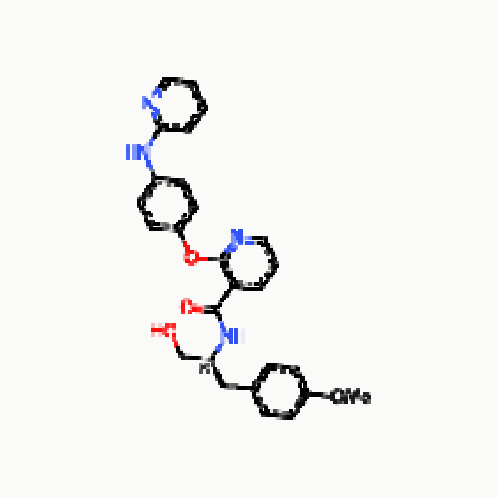 COc1ccc(C[C@@H](CO)NC(=O)c2cccnc2Oc2ccc(Nc3ccccn3)cc2)cc1